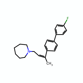 CC(=CCN1CCCCCC1)c1ccc(-c2ccc(F)cc2)cc1